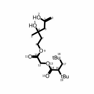 C=C(O)CC(C)(O)CCOC(=O)COC(=O)C(CC(C)(C)C)C(C)(C)C